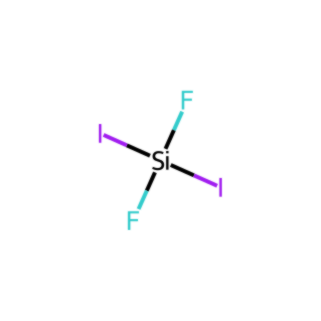 F[Si](F)(I)I